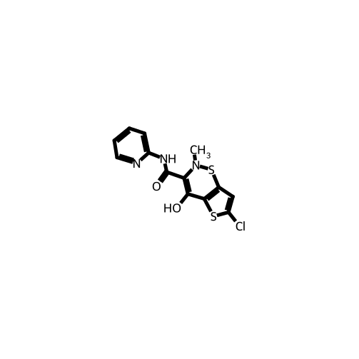 CN1Sc2cc(Cl)sc2C(O)=C1C(=O)Nc1ccccn1